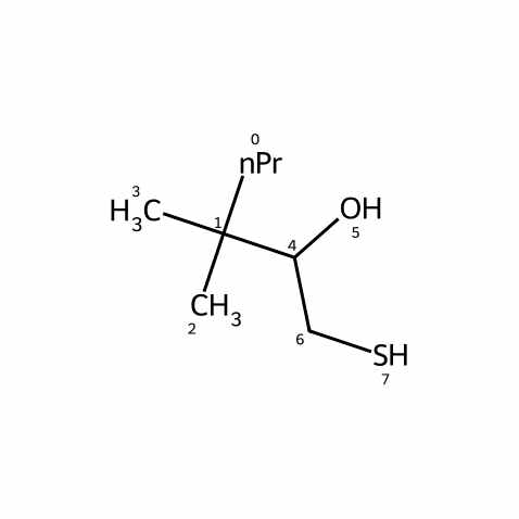 CCCC(C)(C)C(O)CS